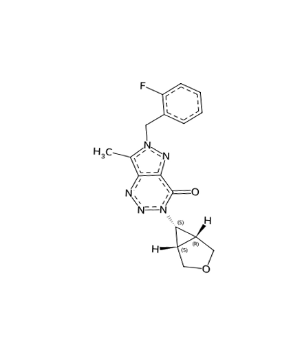 Cc1c2nnn([C@@H]3[C@@H]4COC[C@@H]43)c(=O)c2nn1Cc1ccccc1F